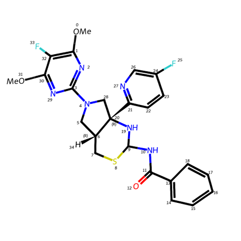 COc1nc(N2C[C@H]3CSC(NC(=O)c4ccccc4)N[C@@]3(c3ccc(F)cn3)C2)nc(OC)c1F